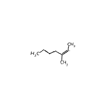 C/[C]=C(/C)CCCC